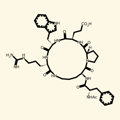 CC(=O)N[C@@H](Cc1ccccc1)C(=O)N[C@H]1CCCNC(=O)[C@H](CCCNC(=N)N)NC(=O)[C@H](Cc2c[nH]c3ccccc23)NC(=O)[C@@H](CCC(=O)O)NC(=O)[C@@H]2CCCN2C1=O